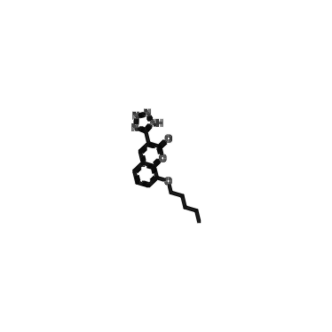 CCCCCOc1cccc2cc(-c3nnn[nH]3)c(=O)oc12